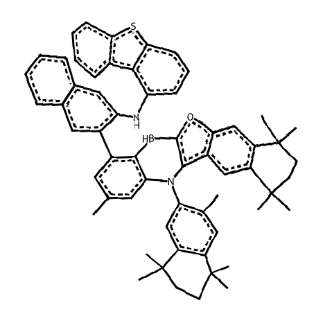 Cc1cc(-c2cc3ccccc3cc2Nc2cccc3sc4ccccc4c23)c2c(c1)N(c1cc3c(cc1C)C(C)(C)CCC3(C)C)c1c(oc3cc4c(cc13)C(C)(C)CCC4(C)C)B2